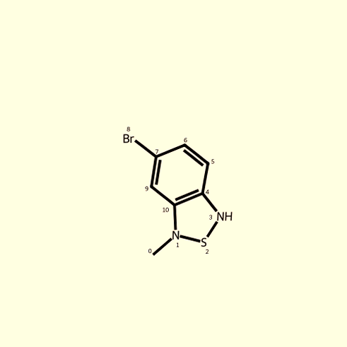 CN1SNc2ccc(Br)cc21